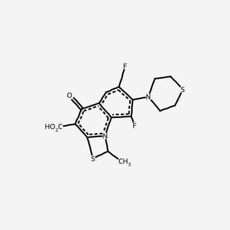 CC1Sc2c(C(=O)O)c(=O)c3cc(F)c(N4CCSCC4)c(F)c3n21